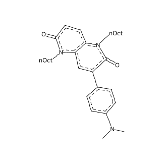 CCCCCCCCn1c(=O)ccc2c1cc(-c1ccc(N(C)C)cc1)c(=O)n2CCCCCCCC